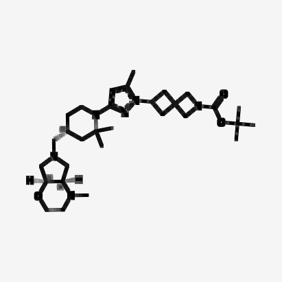 Cc1cc(N2CC[C@@H](CN3C[C@@H]4OCCN(C)[C@@H]4C3)CC2(C)C)nn1C1CC2(C1)CN(C(=O)OC(C)(C)C)C2